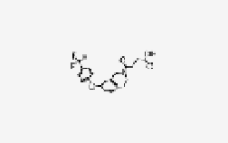 O=C(O)CCC(=O)N1CCc2ccc(Oc3ccc(C(F)(F)F)cc3)cc2C1